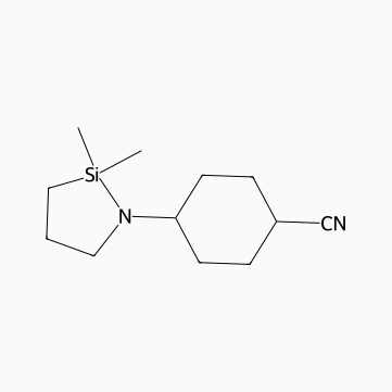 C[Si]1(C)CCCN1C1CCC(C#N)CC1